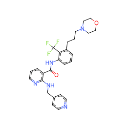 O=C(Nc1cccc(CCCN2CCOCC2)c1C(F)(F)F)c1cccnc1NCc1ccncc1